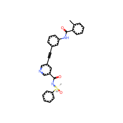 Cc1ccccc1C(=O)Nc1cccc(C#Cc2cncc(C(=O)N=[S@@](C)(=O)c3ccccc3)c2)c1